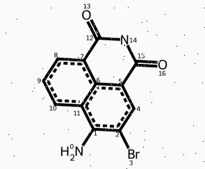 Nc1c(Br)cc2c3c(cccc13)C(=O)[N]C2=O